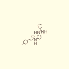 Cc1ccc(/C=C/C(=O)Nc2cccc(NC(=N)c3ccccc3)c2)cc1